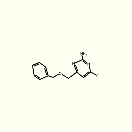 Nc1nc(Cl)cc(COCc2ccccc2)n1